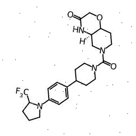 O=C1COC2CCN(C(=O)N3CCC(c4ccc(N5CCCC5C(F)(F)F)cc4)CC3)C[C@H]2N1